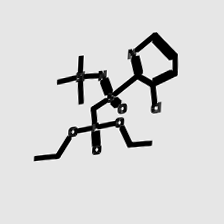 CCOP(=O)(CS(=O)(=N[Si](C)(C)C)c1ncccc1Cl)OCC